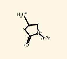 [CH2]CCN1CC(C)CC1=O